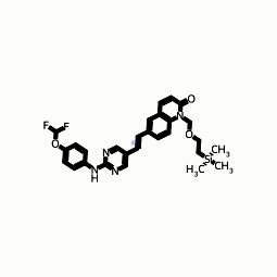 C[Si](C)(C)CCOCn1c(=O)ccc2cc(/C=C/c3cnc(Nc4ccc(OC(F)F)cc4)nc3)ccc21